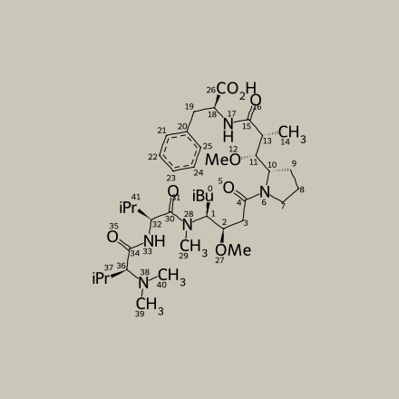 CCC(C)[C@@H]([C@@H](CC(=O)N1CCC[C@H]1[C@H](OC)[C@@H](C)C(=O)N[C@@H](Cc1ccccc1)C(=O)O)OC)N(C)C(=O)[C@@H](NC(=O)[C@H](C(C)C)N(C)C)C(C)C